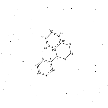 [c]1ccccc1C1CCCc2ccccc21